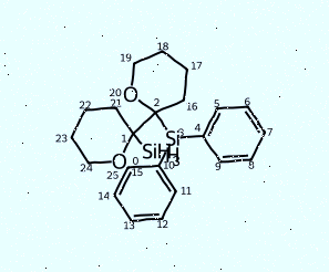 [SiH3]C1(C2([SiH](c3ccccc3)c3ccccc3)CCCCO2)CCCCO1